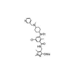 CCN(c1cc(Cl)cc(C(=O)NCc2c(OC)nn(C)c2C)c1C)C1CCC(N(C)Cc2cccnc2)CC1